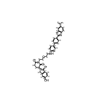 CN(C)c1ccc2nc(-c3ccc(-c4ccc(NCCOCCN5C(=O)CCC(N6Cc7cc(O)ccc7C6=O)C5=O)nc4)cc3)sc2c1